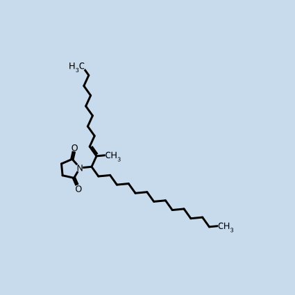 CCCCCCCCC=C(C)C(CCCCCCCCCCCCCC)N1C(=O)CCC1=O